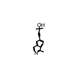 Cc1nccc2cc(C#CC(C)(C)O)ccc12